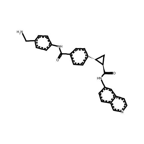 NCc1ccc(NC(=O)c2ccc([C@@H]3C[C@H]3C(=O)Nc3ccc4cnccc4c3)cc2)cc1